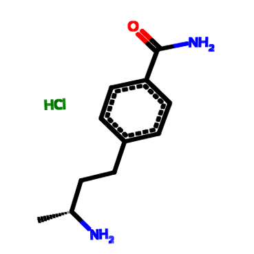 C[C@@H](N)CCc1ccc(C(N)=O)cc1.Cl